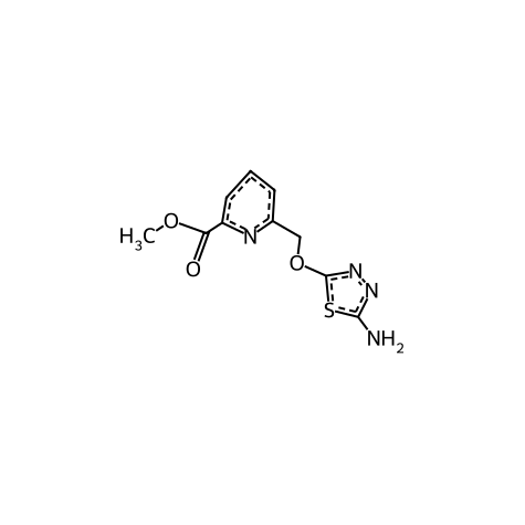 COC(=O)c1cccc(COc2nnc(N)s2)n1